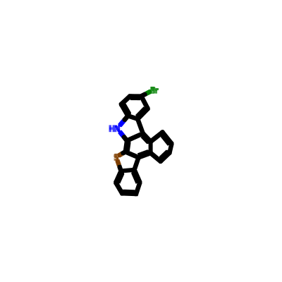 Brc1ccc2[nH]c3c4sc5ccccc5c4c4ccccc4c3c2c1